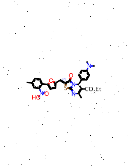 CCOC(=O)C1=C(C)N=c2s/c(=C\c3ccc(-c4ccc(C)cc4[N+](=O)O)o3)c(=O)n2C1c1ccc(N(C)C)cc1